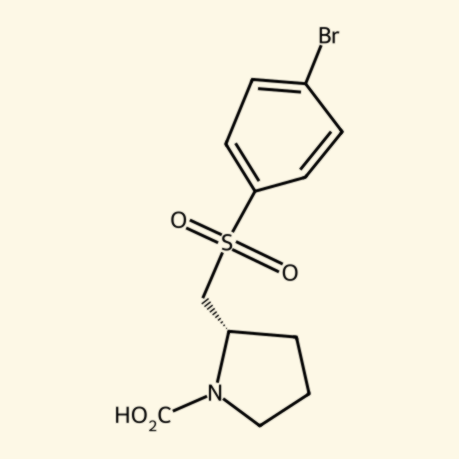 O=C(O)N1CCC[C@H]1CS(=O)(=O)c1ccc(Br)cc1